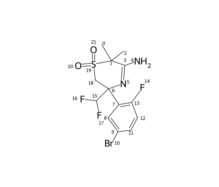 CC1(C)C(N)=NC(c2cc(Br)ccc2F)(C(F)F)CS1(=O)=O